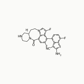 N#Cc1c(N)sc2c(F)ccc(-c3c(F)cc4c5c3c(F)cn5CC[C@@H]3CNCCN3C4=O)c12